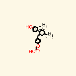 CC1(C)CC(=Cc2ccc(OCC(=O)O)cc2)C(c2ccc(O)cc2)C(C)(C)C1